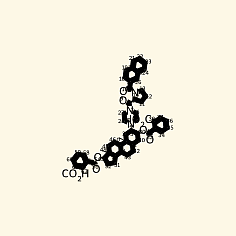 C[C@]12C[C@H](N3CCN(C(=O)[C@@H]4CCCN4C(=O)c4ccc5ccccc5c4)CC3)[C@@H](OC(=O)c3ccccc3C(=O)O)CC1CCC1C2CC[C@@]2(C)C1CC[C@@H]2OC(=O)c1ccccc1C(=O)O